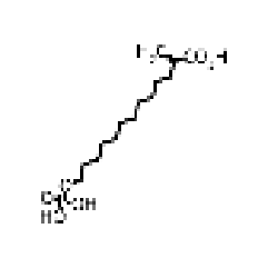 C=C(CCCCCCCCCCCOP(=O)(O)O)C(=O)O